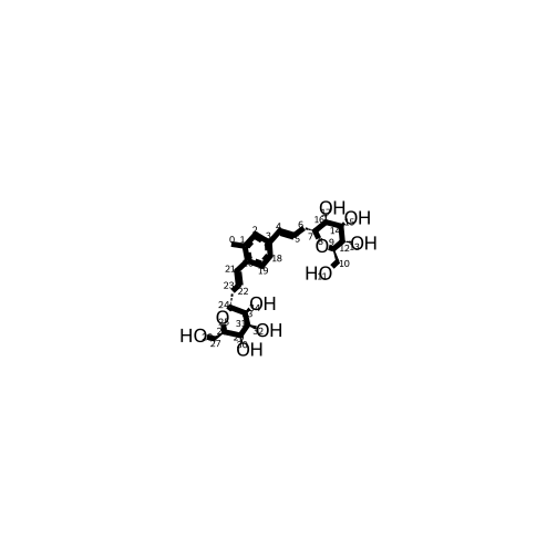 Cc1cc(/C=C/C[C@H]2O[C@H](CO)[C@@H](O)[C@H](O)[C@H]2O)ccc1/C=C/C[C@H]1O[C@H](CO)[C@@H](O)[C@H](O)[C@@H]1O